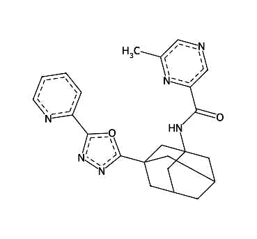 Cc1cncc(C(=O)NC23CC4CC(C2)CC(c2nnc(-c5ccccn5)o2)(C4)C3)n1